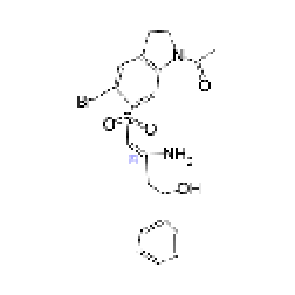 CC(=O)N1CCc2cc(Br)c(S(=O)(=O)/C=C(\N)CC(O)c3ccccc3)cc21